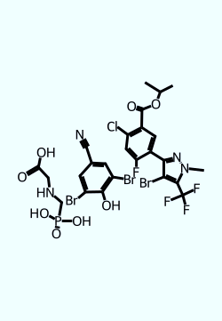 CC(C)OC(=O)c1cc(-c2nn(C)c(C(F)(F)F)c2Br)c(F)cc1Cl.N#Cc1cc(Br)c(O)c(Br)c1.O=C(O)CNCP(=O)(O)O